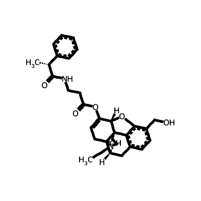 C[C@@H](C(=O)NCCC(=O)OC1=CC[C@@]2(O)[C@H]3Cc4ccc(CO)c5c4[C@@]2(CCN3C)[C@H]1O5)c1ccccc1